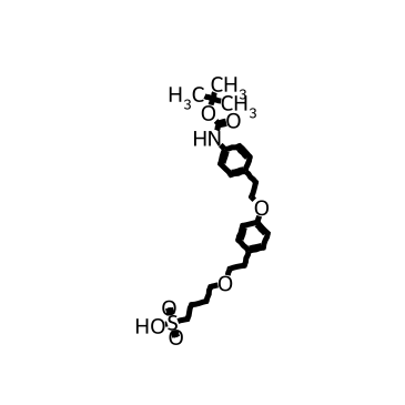 CC(C)(C)OC(=O)Nc1ccc(CCOc2ccc(CCOCCCCS(=O)(=O)O)cc2)cc1